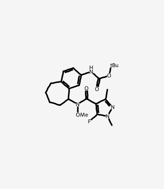 CON(C(=O)c1c(C)nn(C)c1F)C1CCCCc2ccc(NC(=O)OC(C)(C)C)cc21